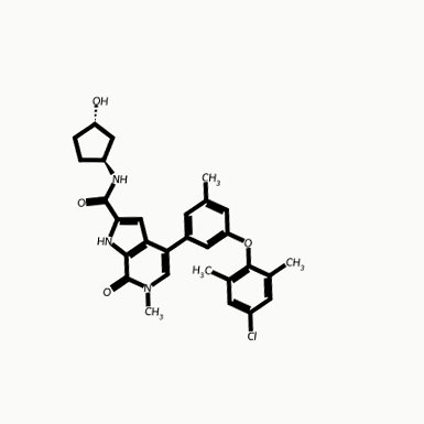 Cc1cc(Oc2c(C)cc(Cl)cc2C)cc(-c2cn(C)c(=O)c3[nH]c(C(=O)N[C@H]4CC[C@H](O)C4)cc23)c1